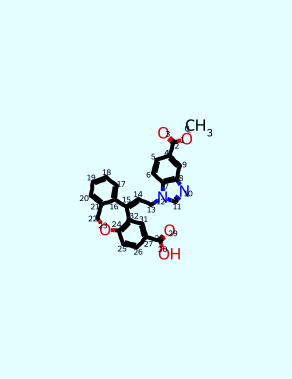 COC(=O)c1ccc2c(c1)ncn2CC=C1c2ccccc2COc2ccc(C(=O)O)cc21